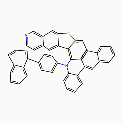 c1ccc(N(c2ccc(-c3cccc4ccccc34)cc2)c2cccc3oc4cc5cnccc5cc4c23)c(-c2ccc3ccccc3c2)c1